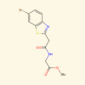 CC(C)(C)OC(=O)CNC(=O)Cc1nc2ccc(Br)cc2s1